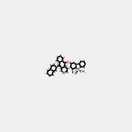 C[Si]1(C)c2ccccc2-c2cc(Oc3c4ccccc4c(-c4ccc5ccccc5c4)c4cnccc34)ccc21